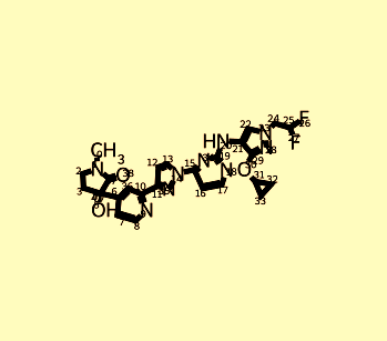 CN1CC[C@@](O)(c2ccnc(-c3ccn(-c4ccnc(Nc5cn(CC(F)F)nc5OC5CC5)n4)n3)c2)C1=O